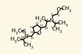 COCCN(C(C)C)C(C)CC1CCC(CN(SC)C(C)C)O1